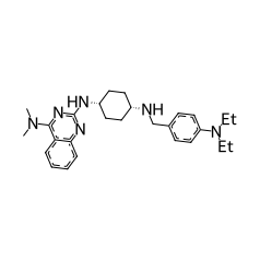 CCN(CC)c1ccc(CN[C@H]2CC[C@@H](Nc3nc(N(C)C)c4ccccc4n3)CC2)cc1